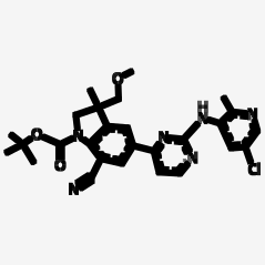 COCC1(C)CN(C(=O)OC(C)(C)C)c2c(C#N)cc(-c3ccnc(Nc4cc(Cl)cnc4C)n3)cc21